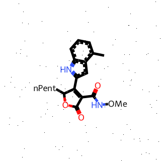 CCCCCC1OC(=O)C(C(=O)NOC)=C1c1cc2c(C)cccc2[nH]1